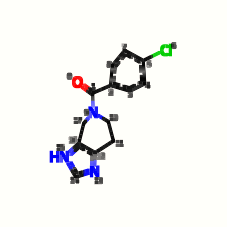 O=C(c1ccc(Cl)cc1)N1CCc2nc[nH]c2C1